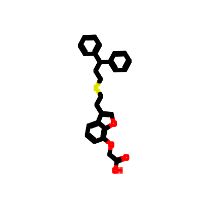 O=C(O)COc1cccc2c(CCSCCC(c3ccccc3)c3ccccc3)coc12